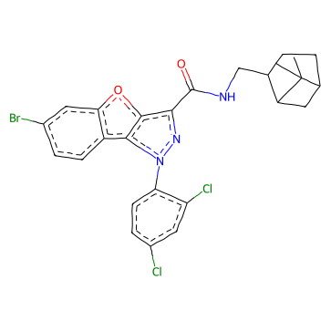 CC1(C)C2CCC(CNC(=O)c3nn(-c4ccc(Cl)cc4Cl)c4c3oc3cc(Br)ccc34)C1C2